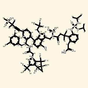 CC(C)OP(=O)(Oc1cccc(CC(=O)O)c1C(C)(C)CC(=O)N(Cc1nn(CC(F)(F)F)c2c(-c3ccc(C#CC(C)(C)S(C)(=O)=O)nc3[C@H](Cc3cc(F)cc(F)c3)NC(=O)Cn3nc(C(F)(F)F)c4c3C(F)(F)[C@@H]3C[C@H]43)ccc(Cl)c12)[SH](=O)=O)OC(C)C